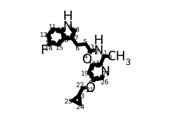 CC(NC(=O)CCc1c[nH]c2ccc(F)cc12)c1ccc(OCC2CC2)cn1